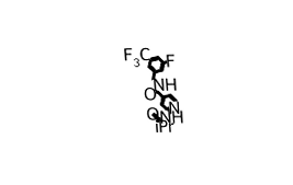 CC(C)C(=O)Nc1cc(C(=O)NCc2cc(F)cc(C(F)(F)F)c2)ccn1